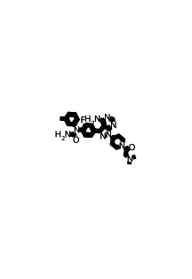 Cc1cccc(N(C(N)=O)c2ccc(-c3nn(C4CCN(C(=O)CN(C)C)CC4)c4ncnc(N)c34)cc2F)c1